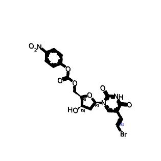 O=C(OC[C@H]1O[C@@H](n2cc(/C=C/Br)c(=O)[nH]c2=O)C[C@@H]1O)Oc1ccc([N+](=O)[O-])cc1